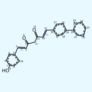 O=C(/C=C/c1ccc(O)cc1)CC(=O)/C=C/c1ccc(-c2ccccn2)cc1